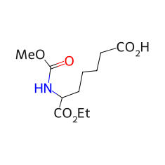 CCOC(=O)C(CCCCC(=O)O)NC(=O)OC